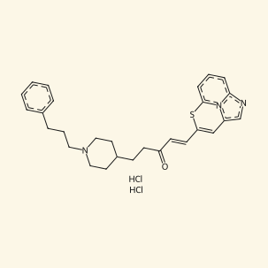 Cl.Cl.O=C(C=CC1=Cc2cnc3cccc(n23)S1)CCC1CCN(CCCc2ccccc2)CC1